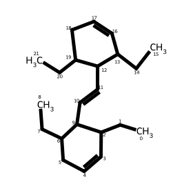 CCC1C=CCC(CC)C1C=CC1C(CC)C=CCC1CC